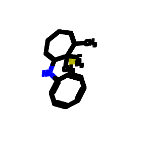 CC1CCCCC(N/C2=C/C=C\C=C/C=C2S)C1(C)C